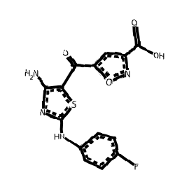 Nc1nc(Nc2ccc(F)cc2)sc1C(=O)c1cc(C(=O)O)no1